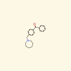 O=C(c1ccccc1)c1ccc(CN2CCCCCC2)cc1